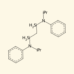 CC(C)N([SiH2]C[SiH2]N(c1ccccc1)C(C)C)c1ccccc1